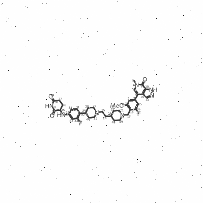 COc1cc(-c2cn(C)c(=O)c3[nH]ncc23)cc(F)c1CN1CCC(CCN2CCC(c3ccc(NC4CCC(=O)NC4=O)cc3F)CC2)CC1